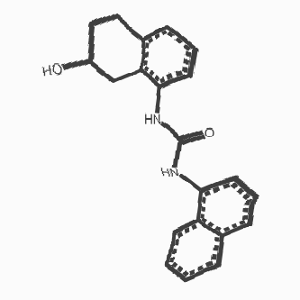 O=C(Nc1cccc2c1CC(O)CC2)Nc1cccc2ccccc12